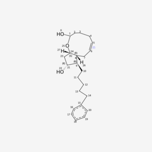 OC1CCC/C=C\C[C@@H]2[C@@H](CCCCCc3ccccc3)[C@H](O)C[C@@H]2O1